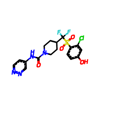 O=C(Nc1ccnnc1)N1CCC(C(F)(F)S(=O)(=O)c2ccc(O)cc2Cl)CC1